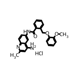 COc1ccccc1OCc1ccccc1C(=O)Nc1ccc2nc(C)cc(N)c2c1.Cl